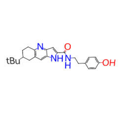 CC(C)(C)C1CCc2nc3cc(C(=O)NCCc4ccc(O)cc4)[nH]c3cc2C1